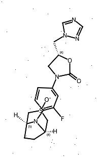 O=C1O[C@@H](Cn2cncn2)CN1c1ccc(N2[C@@H]3CC[C@H]2C[S+]([O-])C3)c(F)c1